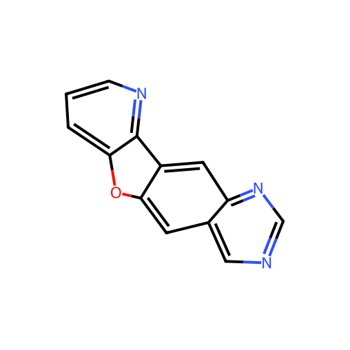 c1cnc2c(c1)oc1cc3cncnc3cc12